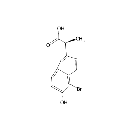 C[C@H](C(=O)O)c1ccc2c(Br)c(O)ccc2c1